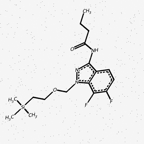 CCCC(=O)Nc1nn(COCC[Si](C)(C)C)c2c(F)c(F)ccc12